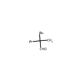 CCC(C)C(C)(C=O)C(C)C